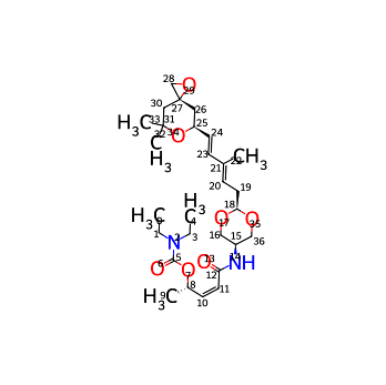 CCN(CC)C(=O)O[C@@H](C)/C=C\C(=O)N[C@H]1CO[C@@H](C/C=C(C)/C=C/[C@@H]2C[C@]3(CO3)CC(C)(C)O2)OC1